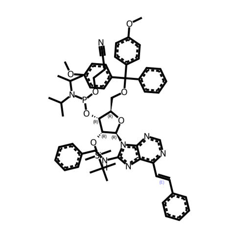 COc1ccc(C(OC[C@H]2O[C@@H](n3c(NCc4ccccc4)nc4c(/C=C/c5ccccc5)ncnc43)[C@H](O[Si](C)(C)C(C)(C)C)[C@@H]2OP(OCCC#N)N(C(C)C)C(C)C)(c2ccccc2)c2ccc(OC)cc2)cc1